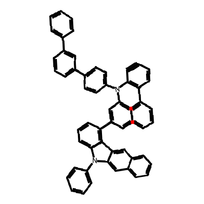 c1ccc(-c2ccccc2)c(N(c2ccc(-c3cccc(-c4ccccc4)c3)cc2)c2cccc(-c3cccc4c3c3cc5ccccc5cc3n4-c3ccccc3)c2)c#1